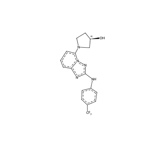 O[C@@H]1CCN(c2cccc3nc(Nc4ccc(C(F)(F)F)cc4)nn23)C1